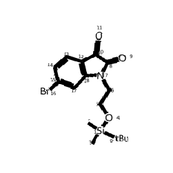 CC(C)(C)[Si](C)(C)OCCN1C(=O)C(=O)c2ccc(Br)cc21